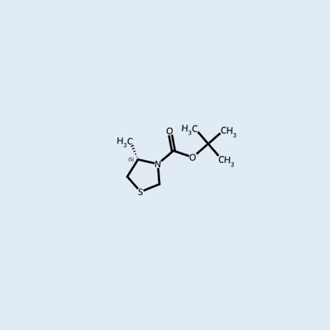 C[C@H]1CSCN1C(=O)OC(C)(C)C